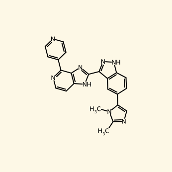 Cc1ncc(-c2ccc3[nH]nc(-c4nc5c(-c6ccncc6)nccc5[nH]4)c3c2)n1C